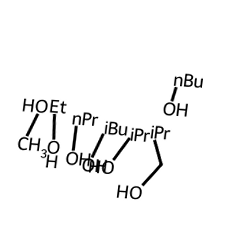 CC(C)CO.CC(C)O.CCC(C)O.CCCCO.CCCO.CCO.CO